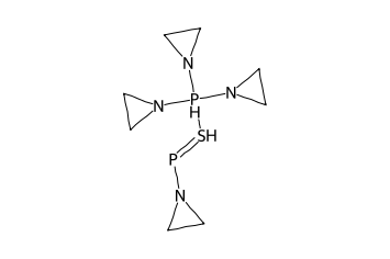 C1CN1P=[SH][PH](N1CC1)(N1CC1)N1CC1